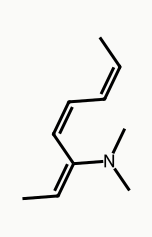 C\C=C/C=C\C(=C/C)N(C)C